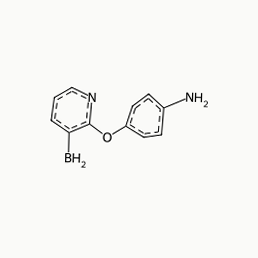 Bc1cccnc1Oc1ccc(N)cc1